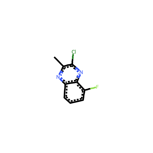 Cc1nc2cccc(F)c2nc1Cl